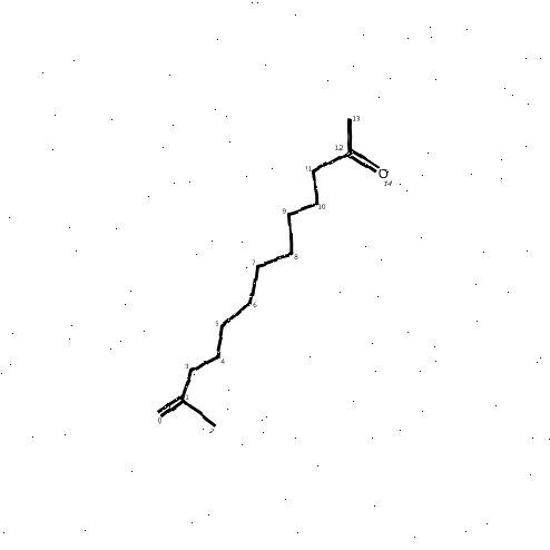 C=C(C)CCCCCCCCCC(C)=O